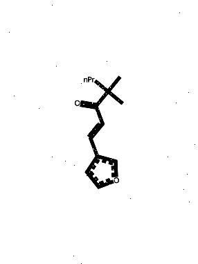 CCCC(C)(C)C(=O)/C=C/c1ccoc1